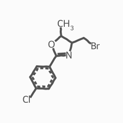 CC1OC(c2ccc(Cl)cc2)=NC1CBr